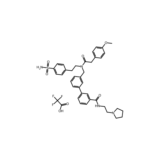 COc1ccc(CC(=O)N(CCc2ccc(S(N)(=O)=O)cc2)Cc2cccc(-c3cccc(C(=O)NCCN4CCCC4)c3)c2)cc1.O=C(O)C(F)(F)F